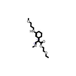 CCOCCOC(=O)C(/C=N/C)=C1/C=C(NCCCOC)CCC1